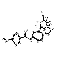 COc1cnc(C(=O)Nc2ccc(F)c([C@@]3(C)N=C(N)C(C)(C)S4(=O)=NCC[C@@H]34)c2)cn1